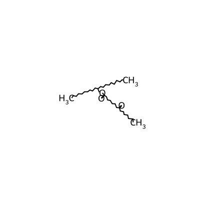 CCCCCCCCCCC(CCCCCCCCCC)COC(=O)CCCCCCC(=O)CCCCCCC